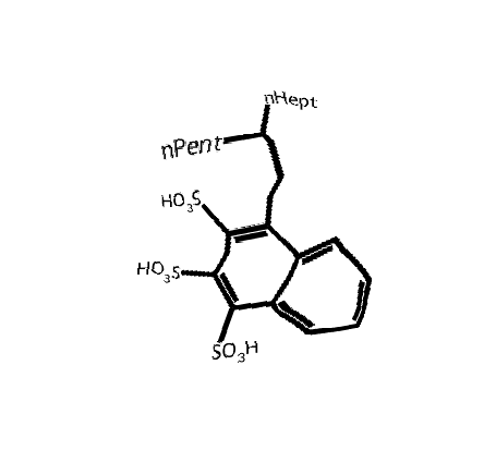 CCCCCCCC(CCCCC)Cc1c(S(=O)(=O)O)c(S(=O)(=O)O)c(S(=O)(=O)O)c2ccccc12